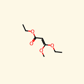 CCOC(=O)/C=C(\OC)OCC